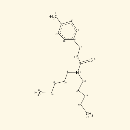 [CH2]c1ccc(CSC(=S)N(CCCCC)CCCCC)cc1